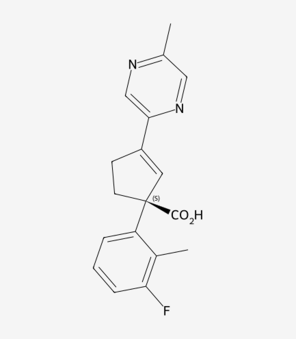 Cc1cnc(C2=C[C@](C(=O)O)(c3cccc(F)c3C)CC2)cn1